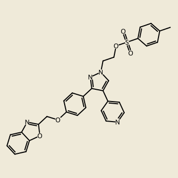 Cc1ccc(S(=O)(=O)OCCn2cc(-c3ccncc3)c(-c3ccc(OCc4nc5ccccc5o4)cc3)n2)cc1